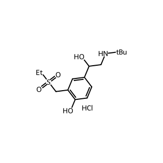 CCS(=O)(=O)Cc1cc(C(O)CNC(C)(C)C)ccc1O.Cl